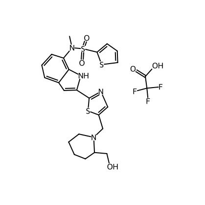 CN(c1cccc2cc(-c3ncc(CN4CCCCC4CO)s3)[nH]c12)S(=O)(=O)c1cccs1.O=C(O)C(F)(F)F